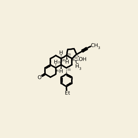 CC#C[C@]1(O)CC[C@H]2[C@@H]3CCC4=CC(=O)CC[C@@H]4[C@H]3[C@@H](c3ccc(CC)cc3)C[C@@]21C